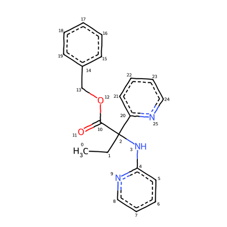 CCC(Nc1ccccn1)(C(=O)OCc1ccccc1)c1ccccn1